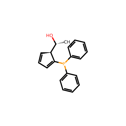 C[C@@H](O)[C@@H]1C=CC=C1P(c1ccccc1)c1ccccc1